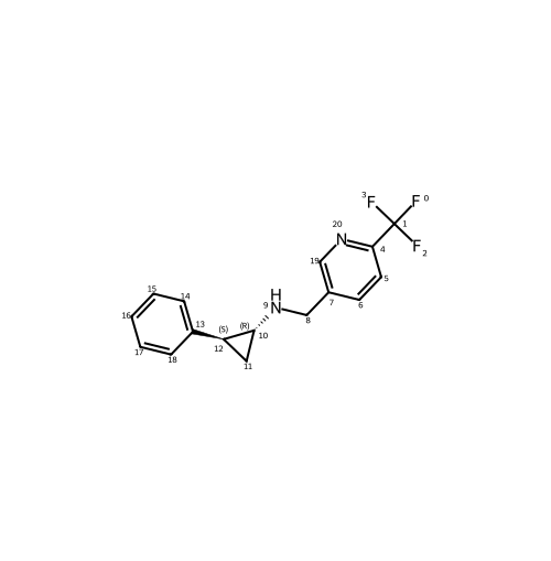 FC(F)(F)c1ccc(CN[C@@H]2C[C@H]2c2ccccc2)cn1